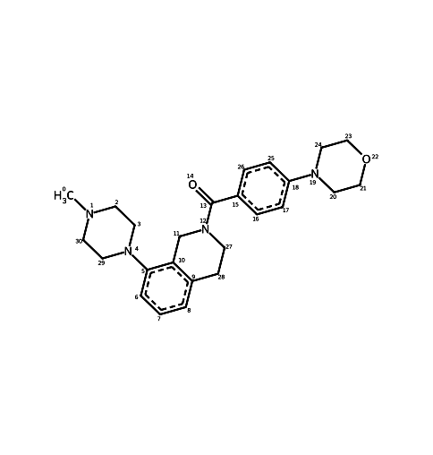 CN1CCN(c2cccc3c2CN(C(=O)c2ccc(N4CCOCC4)cc2)CC3)CC1